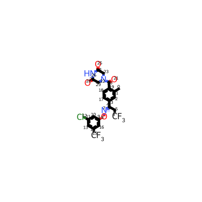 Cc1cc(/C(CC(F)(F)F)=N/Oc2cc(Cl)cc(C(F)(F)F)c2)ccc1C(=O)N1CC(=O)NC(=O)C1